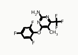 Cc1c(Oc2c(F)cc(F)cc2F)nc(N)nc1C(F)(F)F